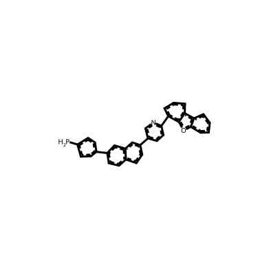 Pc1ccc(-c2ccc3ccc(-c4ccc(-c5cccc6c5oc5ccccc56)nc4)cc3c2)cc1